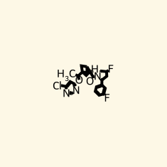 CC(Oc1cc(Cl)ncn1)C12CC(C1)[C@@H](C(=O)N1CC(F)CC1c1cccc(F)c1)C2